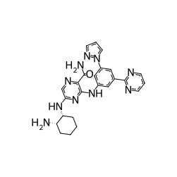 NC(=O)c1ncc(N[C@@H]2CCCC[C@@H]2N)nc1Nc1cc(-c2ncccn2)cc(-n2cccn2)c1